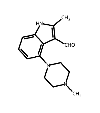 Cc1[nH]c2cccc(N3CCN(C)CC3)c2c1C=O